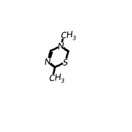 CC1N=CN(C)CS1